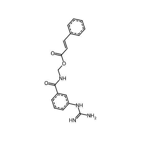 N=C(N)Nc1cccc(C(=O)NCOC(=O)C=Cc2ccccc2)c1